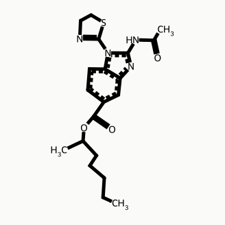 CCCCCC(C)OC(=O)c1ccc2c(c1)nc(NC(C)=O)n2C1=NCCS1